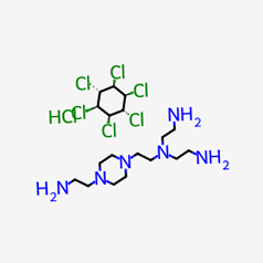 Cl.Cl[C@H]1[C@H](Cl)[C@@H](Cl)[C@@H](Cl)[C@H](Cl)[C@H]1Cl.NCCN(CCN)CCN1CCN(CCN)CC1